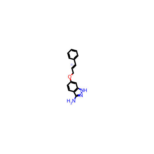 Nc1n[nH]c2cc(OC/C=C/c3ccccc3)ccc12